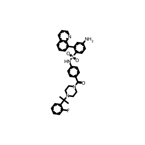 CC(C)(c1ccccc1F)N1CCN(C(=O)c2ccc(NS(=O)(=O)c3ccc(N)cc3-c3cccc4cccnc34)cc2)CC1